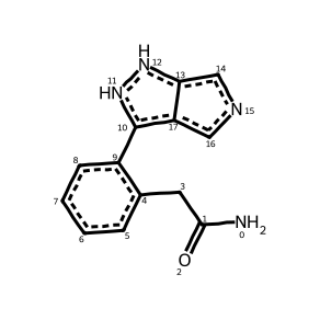 NC(=O)Cc1ccccc1-c1[nH][nH]c2cncc1-2